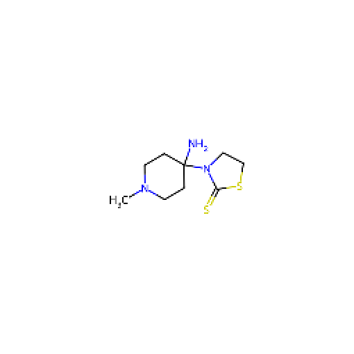 CN1CCC(N)(N2CCSC2=S)CC1